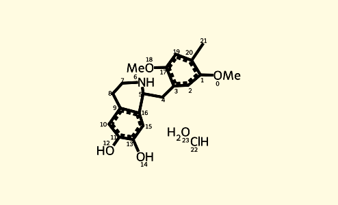 COc1cc(CC2NCCc3cc(O)c(O)cc32)c(OC)cc1C.Cl.O